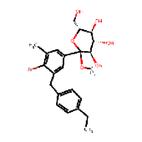 CCc1ccc(Cc2cc([C@]3(OC)O[C@H](CO)[C@@H](O)[C@H](O)[C@H]3O)cc(C)c2Br)cc1